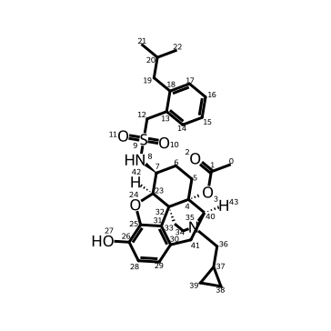 CC(=O)O[C@@]12CC[C@H](NS(=O)(=O)Cc3ccccc3CC(C)C)[C@@H]3Oc4c(O)ccc5c4[C@@]31CCN(CC1CC1)[C@@H]2C5